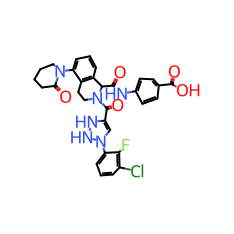 O=C(O)c1ccc(NC(=O)C2c3cccc(N4CCCCC4=O)c3CCN2C(=O)C2=CN(c3cccc(Cl)c3F)NN2)cc1